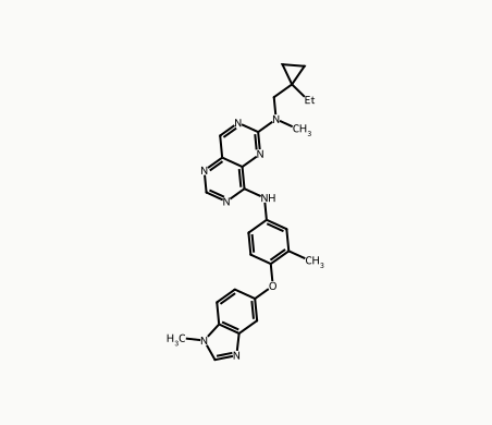 CCC1(CN(C)c2ncc3ncnc(Nc4ccc(Oc5ccc6c(c5)ncn6C)c(C)c4)c3n2)CC1